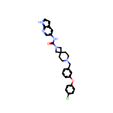 O=C(Nc1cnc2[nH]ccc2c1)N1CC2(CCN(Cc3cccc(Oc4ccc(Cl)cc4)c3)CC2)C1